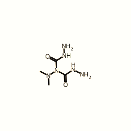 CN(C)N(C(=O)NN)C(=O)NN